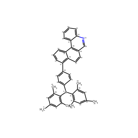 Cc1cc(C)c(B(c2ccc(-c3cccc4c3ccc3cnc5ccccc5c34)cc2)c2c(C)cc(C)cc2C)c(C)c1